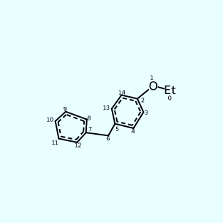 [CH2]COc1ccc(Cc2ccccc2)cc1